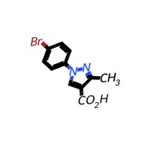 Cc1nn(-c2ccc(Br)cc2)cc1C(=O)O